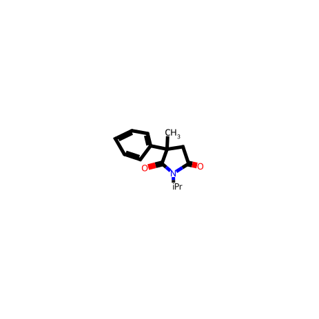 CC(C)N1C(=O)CC(C)(c2ccccc2)C1=O